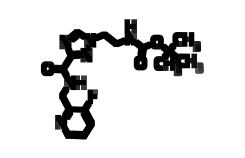 CC(C)(C)OC(=O)NCCn1cnc(C(=O)NCc2ncccc2F)n1